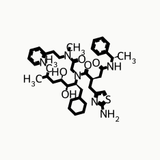 CC(C)C[C@H](O)[C@H](O)[C@H](CC1CCCCC1)N(CC(=O)N(C)CCc1ccccn1)C(=O)[C@@H](CC(=O)N[C@@H](C)c1ccccc1)Cc1csc(N)n1